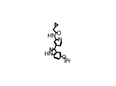 CC(C)Oc1ccc2[nH]nc(-c3ccnc(NC(=O)CC4CC4)c3)c2c1